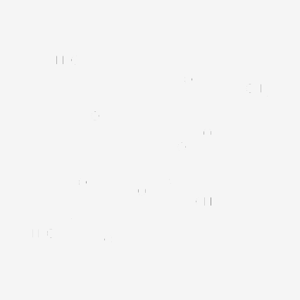 CC(=O)OCC1OC(C)CC(OC(C)=O)C1OC(C)=O